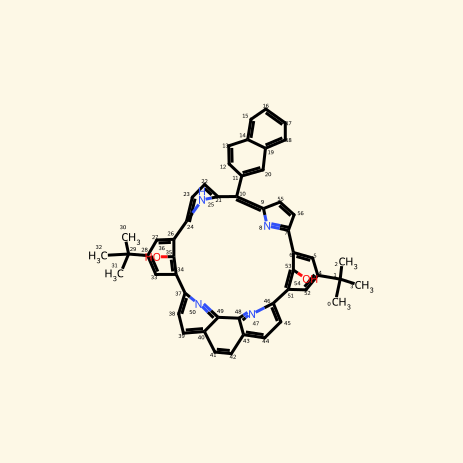 CC(C)(C)c1cc2c3nc(c(-c4ccc5ccccc5c4)c4ccc([nH]4)c4cc(C(C)(C)C)cc(c4O)c4ccc5ccc6ccc(nc6c5n4)c(c1)c2O)C=C3